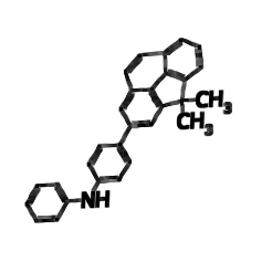 CC1(C)c2cccc3ccc4cc(-c5ccc(Nc6ccccc6)cc5)cc1c4c23